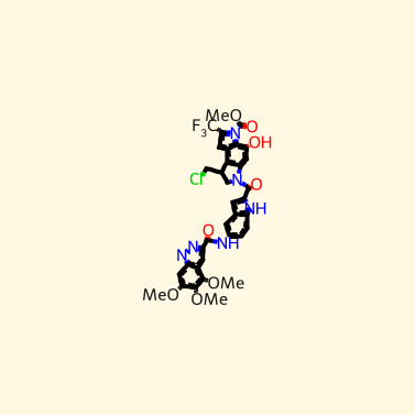 COC(=O)n1c(C(F)(F)F)cc2c3c(cc(O)c21)N(C(=O)c1cc2cc(NC(=O)c4cc5c(OC)c(OC)c(OC)cc5nn4)ccc2[nH]1)CC3CCl